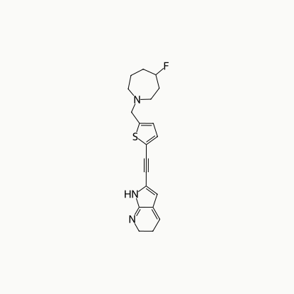 FC1CCCN(Cc2ccc(C#Cc3cc4c([nH]3)=NCCC=4)s2)CC1